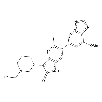 COc1cc(-c2cc3[nH]c(=O)n(C4CCCN(CC(C)C)C4)c3cc2C)cn2ncnc12